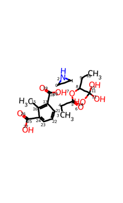 C1CN1.CCC(=O)OC(CC)C(O)(O)O.Cc1c(C(=O)O)cccc1C(=O)O